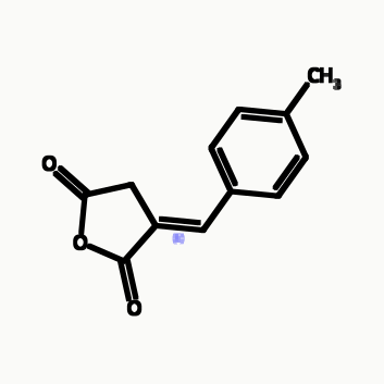 Cc1ccc(/C=C2\CC(=O)OC2=O)cc1